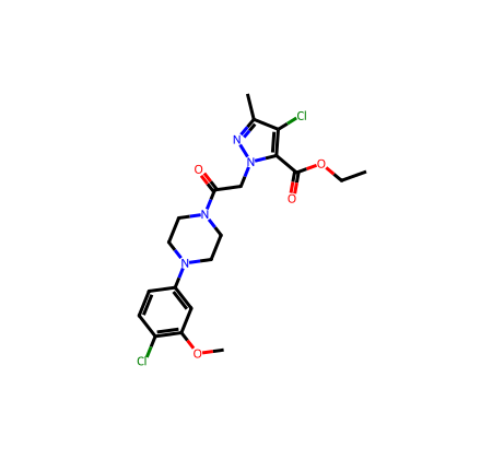 CCOC(=O)c1c(Cl)c(C)nn1CC(=O)N1CCN(c2ccc(Cl)c(OC)c2)CC1